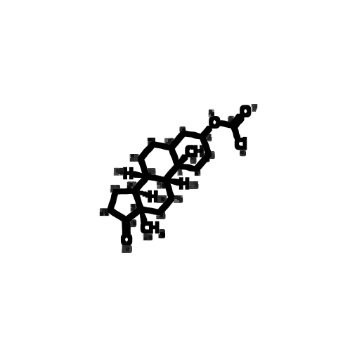 C[C@]12CCC(OC(=O)Cl)CC1CC[C@@H]1[C@H]2CC[C@]2(C)C(=O)CC[C@@H]12